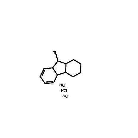 Cl.Cl.Cl.[Ti][CH]1C2C=CC=CC2C2CCCCC12